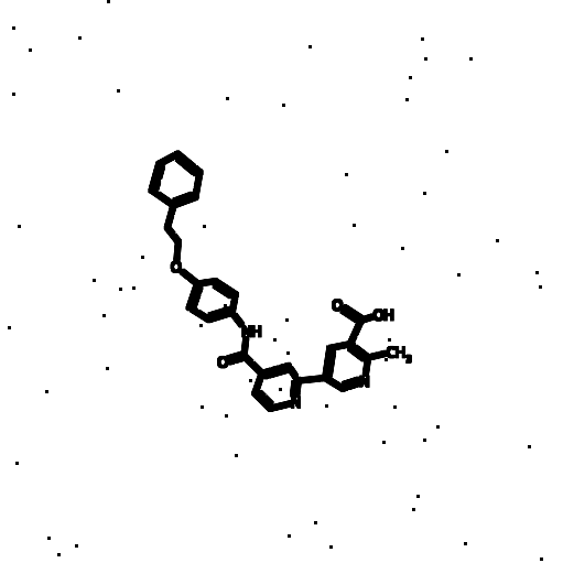 Cc1ncc(-c2cc(C(=O)Nc3ccc(OCCc4ccccc4)cc3)ccn2)cc1C(=O)O